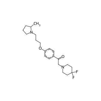 CC1CCCN1CCCOc1ccc(C(=O)CN2CCC(F)(F)CC2)cc1